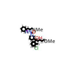 CNCC(CC1(I)CCCCC1)NC(=O)N1CCCC([C@@](O)(CCCCOC)c2cccc(Cl)c2C)C1